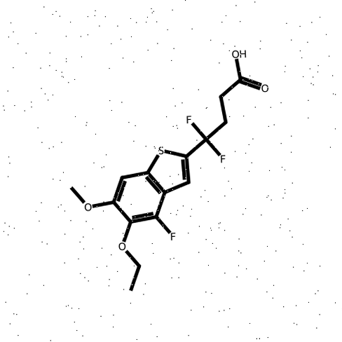 CCOc1c(OC)cc2sc(C(F)(F)CCC(=O)O)cc2c1F